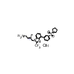 Cl.NC/C=C(\F)Cn1c(C(F)(F)F)nc2c(-c3cccc(S(=O)(=O)N4CCCC4)c3)cccc21